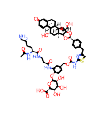 CC(=O)N[C@@H](CCCCN)C(=O)NCCC(=O)Nc1cc(COC(=O)Nc2nc(Cc3ccc([C@@H]4O[C@@H]5C[C@H]6[C@@H]7CCC8=CC(=O)C=C[C@]8(C)[C@H]7[C@@H](O)C[C@]6(C)[C@]5(C(=O)CO)O4)cc3)cs2)ccc1O[C@@H]1O[C@H](C(=O)O)[C@@H](O)[C@H](O)[C@H]1O